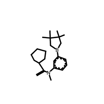 C=C(C1CCCCC1)N(C)c1cccc(B2CC(C)(C)C(C)(C)C2)c1